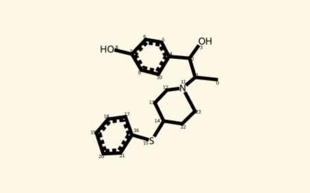 CC(C(O)c1ccc(O)cc1)N1CCC(Sc2ccccc2)CC1